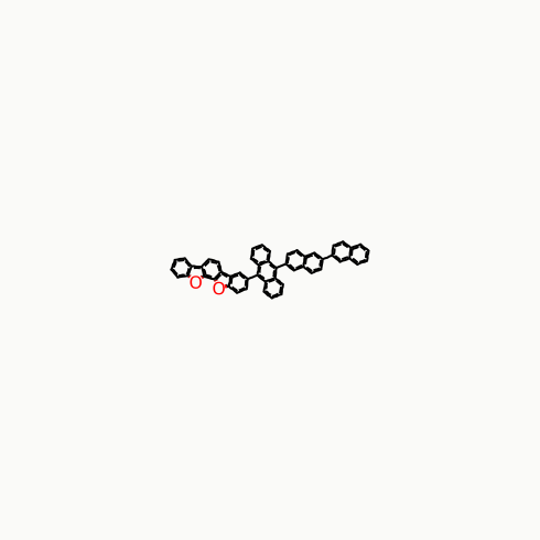 c1ccc2cc(-c3ccc4cc(-c5c6ccccc6c(-c6ccc7oc8c(ccc9c%10ccccc%10oc98)c7c6)c6ccccc56)ccc4c3)ccc2c1